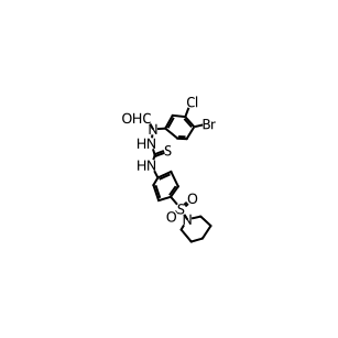 O=CN(NC(=S)Nc1ccc(S(=O)(=O)N2CCCCC2)cc1)c1ccc(Br)c(Cl)c1